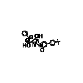 CC(C)(C)c1ccc(-c2ccn(Cc3nc(O)c(OCc4ccccc4)c(C(=O)O)n3)c(=O)c2)cc1